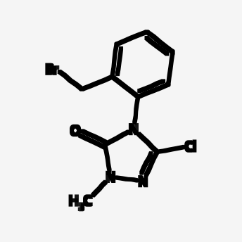 Cn1nc(Cl)n(-c2ccccc2CBr)c1=O